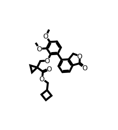 COc1ccc(-c2cccc3c2COC3=O)c(OCC2(C(=O)OCC3CCC3)CC2)c1OC